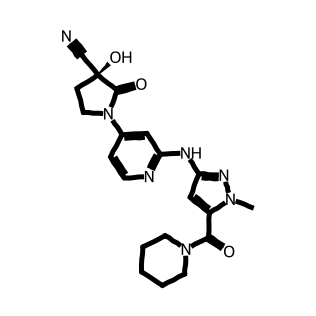 Cn1nc(Nc2cc(N3CC[C@](O)(C#N)C3=O)ccn2)cc1C(=O)N1CCCCC1